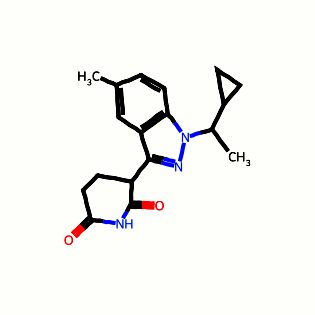 Cc1ccc2c(c1)c(C1CCC(=O)NC1=O)nn2C(C)C1CC1